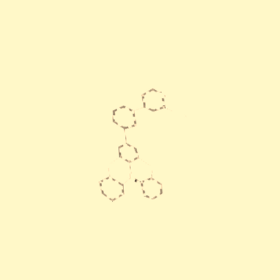 Cc1cc(-c2cccc(-c3cc4c5c(c3)Oc3ccccc3P5(=S)c3ccccc3O4)c2)ccn1